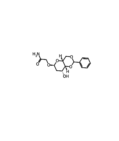 NC(=O)CO[C@@H]1C[C@@H](O)[C@H]2OC(c3ccccc3)OC[C@H]2O1